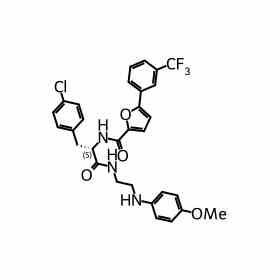 COc1ccc(NCCNC(=O)[C@H](Cc2ccc(Cl)cc2)NC(=O)c2ccc(-c3cccc(C(F)(F)F)c3)o2)cc1